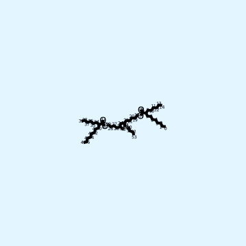 CCCCCCCCC(CCCCCC)C(=O)OCCCCCC1CC(CCCCOC(=O)C(CCCCCC)CCCCCCCC)CN1CCCC